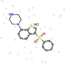 Cl.O=S(=O)(c1ccccc1)c1csc2c(N3CCNCC3)cccc12